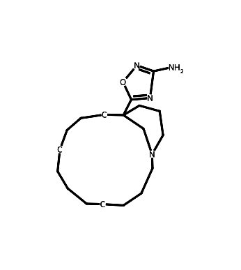 Nc1noc(C23CCCCCCCCCCCN(CCC2)C3)n1